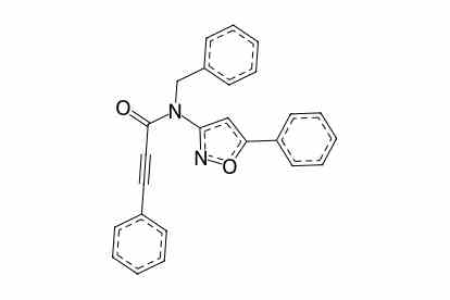 O=C(C#Cc1ccccc1)N(Cc1ccccc1)c1cc(-c2ccccc2)on1